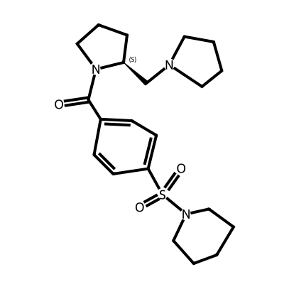 O=C(c1ccc(S(=O)(=O)N2CCCCC2)cc1)N1CCC[C@H]1CN1CCCC1